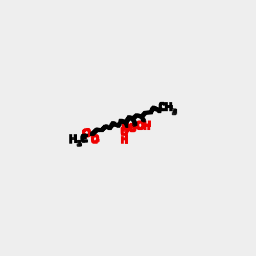 CCCCCC(CO)CC(CO)CC(CO)CCCCCCCC(=O)OC